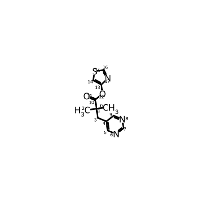 CC(C)(Cc1cncnc1)C(=O)Oc1cscn1